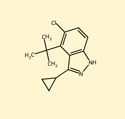 CC(C)(C)c1c(Cl)ccc2[nH]nc(C3CC3)c12